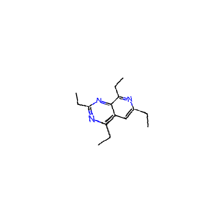 CCc1cc2c(CC)nc(CC)nc2c(CC)n1